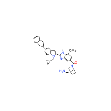 COc1cc(C(=O)N2C[C@@]3(CN)CCC23)cc2nc(-c3cc4cc(C5=Cc6ccccc6C5)ccc4n3CC3CC3)n(C)c12